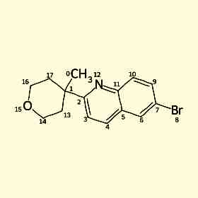 CC1(c2ccc3cc(Br)ccc3n2)CCOCC1